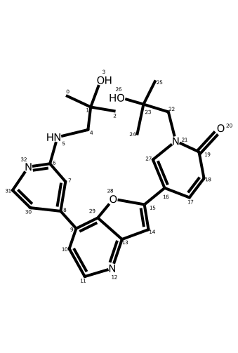 CC(C)(O)CNc1cc(-c2ccnc3cc(-c4ccc(=O)n(CC(C)(C)O)c4)oc23)ccn1